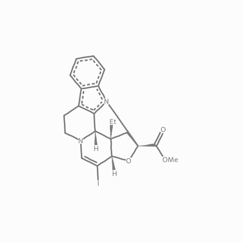 CC[C@@]12C[C@@]3(C(=O)OC)O[C@@H]1C(I)=CN1CCc4c(n3c3ccccc43)[C@@H]12